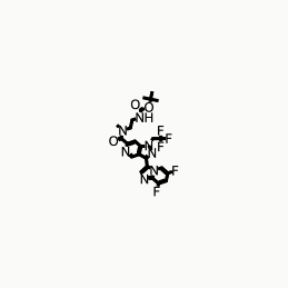 CN(CCNC(=O)OC(C)(C)C)C(=O)c1cc2c(cn1)c(-c1cnc3c(F)cc(F)cn13)nn2CC(F)(F)F